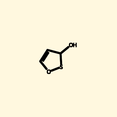 OC1C=COS1